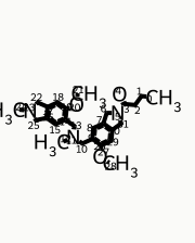 CCCC(=O)N1Cc2cc(CN(C)Cc3cc4c(cc3OC)CN(C)C4)c(OC)cc2C1